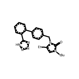 CCc1cn(C(C)(C)C)c(=O)n1Cc1ccc(-c2ccccc2-c2nnn[nH]2)cc1